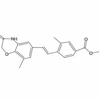 COC(=O)c1ccc(C=Cc2cc(C)c3c(c2)NC(=O)CO3)c(C)c1